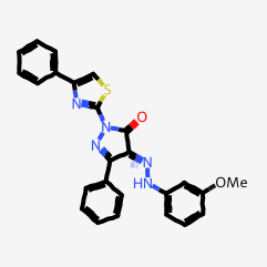 COc1cccc(N/N=C2/C(=O)N(c3nc(-c4ccccc4)cs3)N=C2c2ccccc2)c1